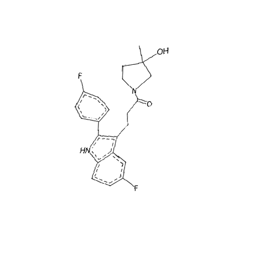 CC1(O)CCN(C(=O)CCc2c(-c3ccc(F)cc3)[nH]c3ccc(F)cc23)C1